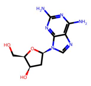 Nc1nc(N)c2ncn([C@H]3C[C@@H](O)[C@@H](CO)O3)c2n1